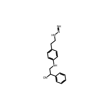 N=NNCCc1ccc(NCC(N=O)c2ccccc2)cc1